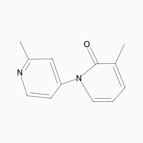 Cc1cc(-n2cccc(C)c2=O)ccn1